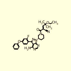 CCOC(C)(C)C=C(C#N)C(=O)N1CCC[C@H](n2nc(-c3ccc(Oc4ccccc4)cc3F)c3c(N)ncnc32)C1